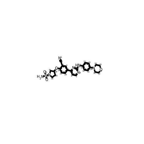 N#Cc1cc(-c2ccnc(Nc3ccc(N4CCOCC4)cc3)n2)ccc1OC1CCN(S(N)(=O)=O)C1